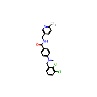 CN(Cc1cccc(Cl)c1Cl)c1ccc(C(=O)NCc2ccc(C(F)(F)F)nc2)cc1